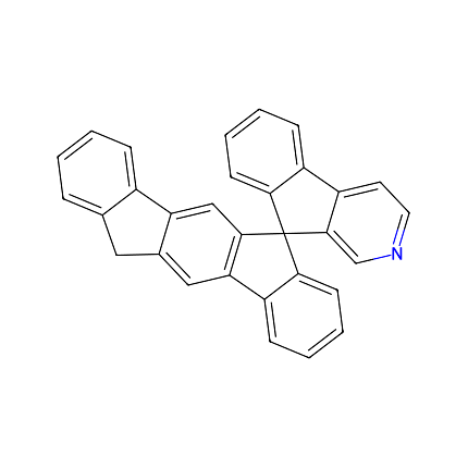 c1ccc2c(c1)Cc1cc3c(cc1-2)C1(c2ccccc2-c2ccncc21)c1ccccc1-3